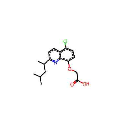 CC(C)CC(C)c1ccc2c(Cl)ccc(OCC(=O)O)c2n1